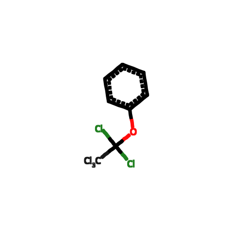 ClC(Cl)(Cl)C(Cl)(Cl)Oc1ccccc1